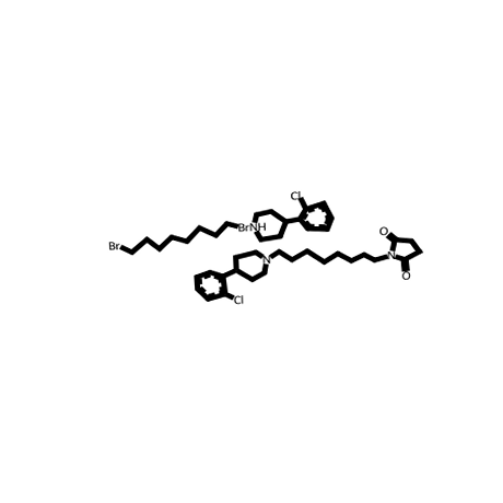 BrCCCCCCCCBr.Clc1ccccc1C1CCNCC1.O=C1CCC(=O)N1CCCCCCCCN1CCC(c2ccccc2Cl)CC1